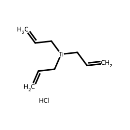 C=C[CH2][Ti]([CH2]C=C)[CH2]C=C.Cl